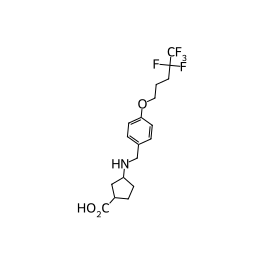 O=C(O)C1CCC(NCc2ccc(OCCCC(F)(F)C(F)(F)F)cc2)C1